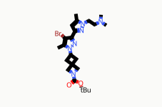 Cc1cc(-c2nn(C3CC4(C3)CN(C(=O)OC(C)(C)C)C4)c(C)c2Br)nn1CCN(C)C